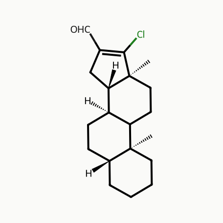 C[C@]12CCC3[C@@H](CC[C@H]4CCCC[C@]34C)[C@@H]1CC(C=O)=C2Cl